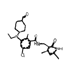 CCN(c1cc(Cl)cc(C(=O)NCc2c(C)cc(C)[nH]c2=O)c1C)C1CCC(C=O)CC1